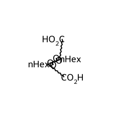 CCCCCCC(CCCCCCCCCCC(=O)O)OC(=O)CCC(=O)O[C@H](CCCCCC)CCCCCCCCCCC(=O)O